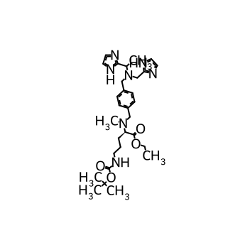 CCOC(=O)[C@@H](CCCNC(=O)OC(C)(C)C)N(C)Cc1ccc(CN(Cc2ncc[nH]2)C(C)c2ncc[nH]2)cc1